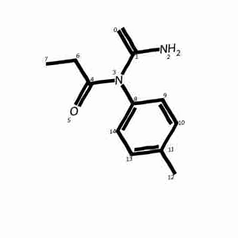 C=C(N)N(C(=O)CC)c1ccc(C)cc1